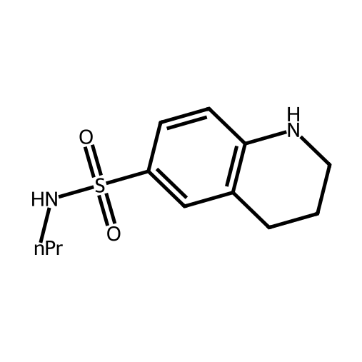 CCCNS(=O)(=O)c1ccc2c(c1)CCCN2